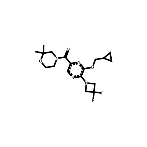 CC1(C)CN(C(=O)c2cnc(N3CC(F)(F)C3)c(OCC3CC3)n2)CCO1